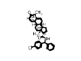 CN1C(=O)CC[C@@]2(C)C1=CC[C@H]1[C@@H]3CC[C@H](C(=O)NC(c4ccccc4)c4ccc(Cl)cc4)[C@@]3(C)CC[C@@H]12